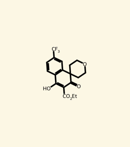 CCOC(=O)C1=C(O)c2ccc(C(F)(F)F)cc2C2(CCOCC2)C1=O